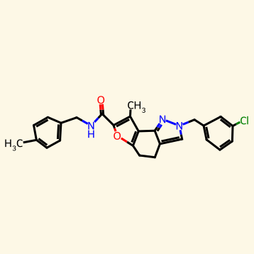 Cc1ccc(CNC(=O)c2oc3c(c2C)-c2nn(Cc4cccc(Cl)c4)cc2CC3)cc1